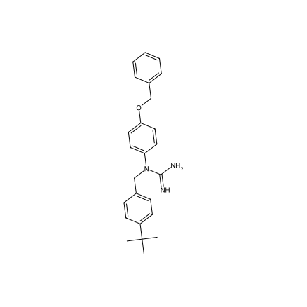 CC(C)(C)c1ccc(CN(C(=N)N)c2ccc(OCc3ccccc3)cc2)cc1